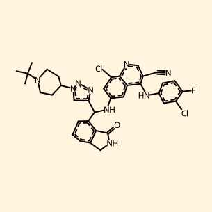 CC(C)(C)N1CCC(n2cc(C(Nc3cc(Cl)c4ncc(C#N)c(Nc5ccc(F)c(Cl)c5)c4c3)c3cccc4c3C(=O)NC4)nn2)CC1